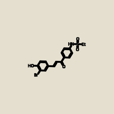 CCS(=O)(=O)Nc1ccc(C(=O)/C=C/c2ccc(O)c(Br)c2)cc1